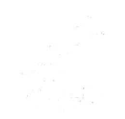 C=C(C(NC(=O)C(O)Cc1ccc(N=O)c(N=O)c1)C(C)(C)C)N1CCCC1C(=O)OC1CC2CCC1(C)C2(C)C